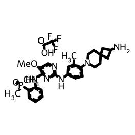 COc1cnc(Nc2ccc(N3CCC4(CC3)CC(N)C4)c(C)c2)nc1Nc1ccccc1P(C)(C)=O.O=C(O)C(F)(F)F